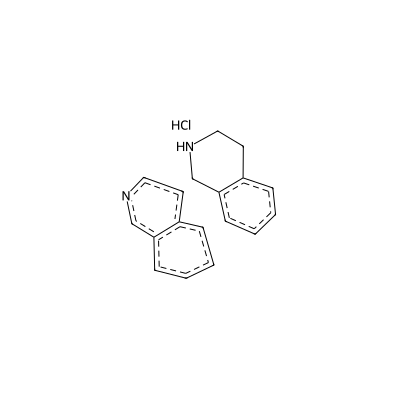 Cl.c1ccc2c(c1)CCNC2.c1ccc2cnccc2c1